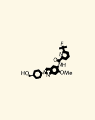 COc1cc2nn([C@H]3CC[C@H](CO)CC3)cc2cc1NC(=O)c1cccc(C(C)(C)F)n1